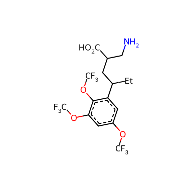 CCC(CC(CN)C(=O)O)c1cc(OC(F)(F)F)cc(OC(F)(F)F)c1OC(F)(F)F